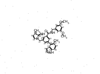 COc1cc(CNC(=O)c2cc(Cn3ccn(C)c3=N)cc(-c3c(C)ccc4[nH]ncc34)c2)cc(OC)c1